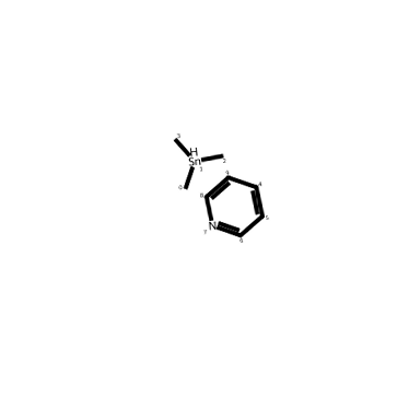 [CH3][SnH]([CH3])[CH3].c1ccncc1